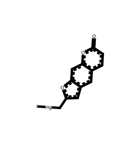 O=c1ccc2cc3cc([CH2][Hg][I])oc3cc2o1